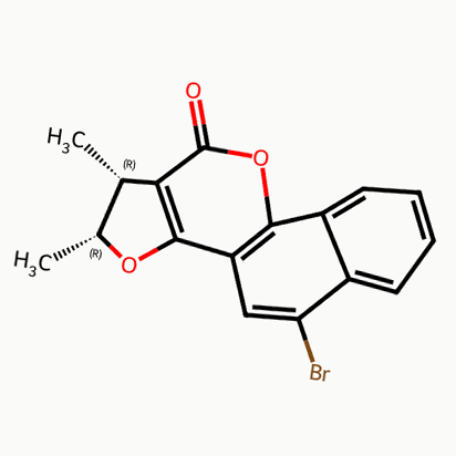 C[C@@H]1c2c(c3cc(Br)c4ccccc4c3oc2=O)O[C@@H]1C